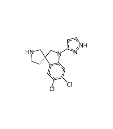 Clc1cc2c(cc1Cl)[C@]1(CCNC1)CN2c1cc[nH]n1